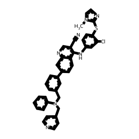 Cn1ccnc1Sc1ccc(Nc2c(C#N)cnc3cc(-c4cccc(CN(Cc5ccncc5)c5ccccc5)c4)ccc23)cc1Cl